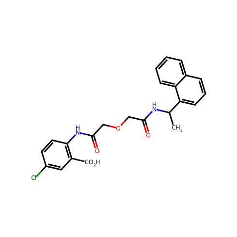 CC(NC(=O)COCC(=O)Nc1ccc(Cl)cc1C(=O)O)c1cccc2ccccc12